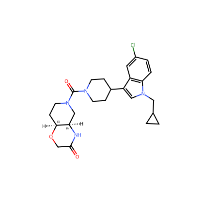 O=C1CO[C@H]2CCN(C(=O)N3CCC(c4cn(CC5CC5)c5ccc(Cl)cc45)CC3)C[C@H]2N1